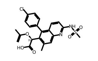 C=C(C)O[C@H](C(=O)O)c1c(C)cc2nc(NS(C)(=O)=O)ccc2c1-c1ccc(Cl)cc1